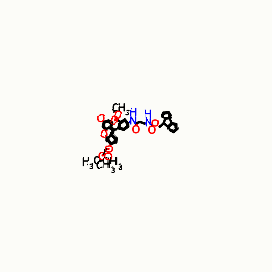 CCOC(=O)c1cc(NC(=O)CCNC(=O)OCC2c3ccccc3-c3ccccc32)ccc1-c1c2ccc(=O)cc-2oc2cc(OCC(=O)OC(C)(C)C)ccc12